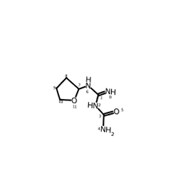 N=C(NC(N)=O)NC1CCCO1